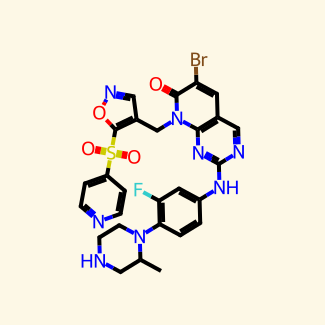 CC1CNCCN1c1ccc(Nc2ncc3cc(Br)c(=O)n(Cc4cnoc4S(=O)(=O)c4ccncc4)c3n2)cc1F